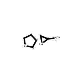 C1CCOC1.CCCC1CO1